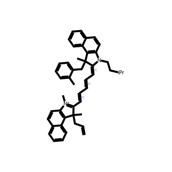 C=CCC1(C)C(/C=C/C=C/C=C2/N(CCC(C)C)c3ccc4ccccc4c3C2(C)Cc2ccccc2C)=[N+](C)c2ccc3ccccc3c21